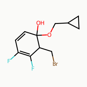 OC1(OCC2CC2)C=CC(F)=C(F)C1CBr